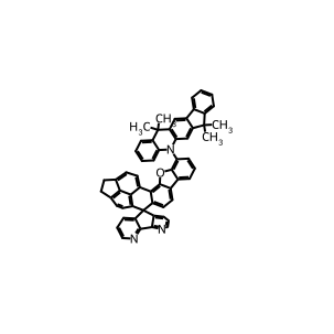 CC1(C)c2ccccc2-c2cc3c(cc21)N(c1cccc2c1oc1c4c(ccc12)C1(c2cccnc2-c2ncccc21)c1ccc2c5c(ccc-4c15)CC2)c1ccccc1C3(C)C